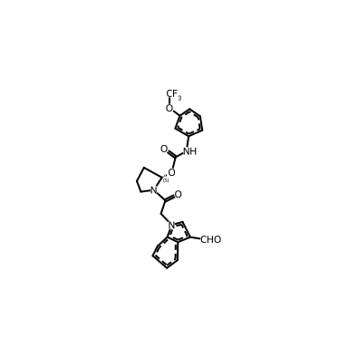 O=Cc1cn(CC(=O)N2CCC[C@@H]2OC(=O)Nc2cccc(OC(F)(F)F)c2)c2ccccc12